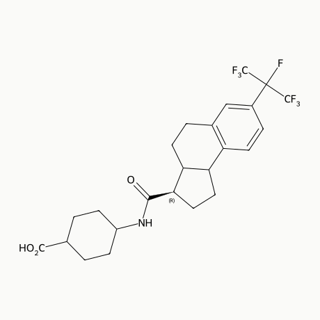 O=C(O)C1CCC(NC(=O)[C@@H]2CCC3c4ccc(C(F)(C(F)(F)F)C(F)(F)F)cc4CCC32)CC1